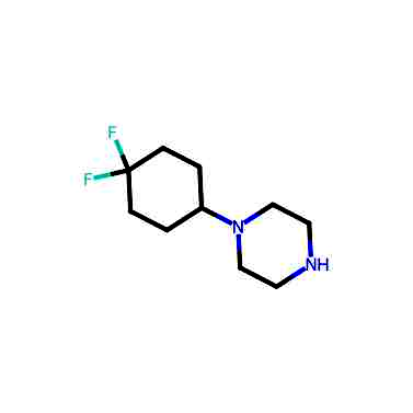 FC1(F)CCC(N2CCNCC2)CC1